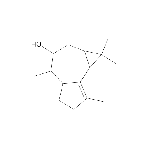 CC1=C2C(CC1)C(C)C(O)CC1C2C1(C)C